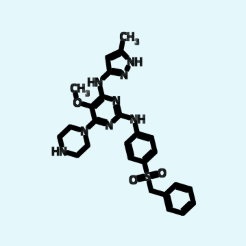 COc1c(Nc2cc(C)[nH]n2)nc(Nc2ccc(S(=O)(=O)Cc3ccccc3)cc2)nc1N1CCNCC1